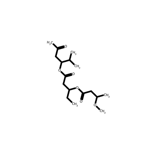 CCC(CC(=O)OC(CC(C)=O)C(C)C)OC(=O)CC(C)OC